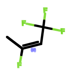 C/C(F)=C\C(F)(F)F